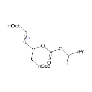 CCCCCCCC/C=C/C(CCCCCCCCCCC)OC(=O)OC(C)C(C)C